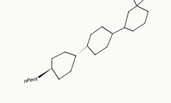 CCCCC[C@H]1CC[C@H](C2CCC(C3CCCC(C#N)(CC)C3)CC2)CC1